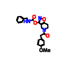 COc1ccc(CC(=O)N2CCc3onc(OC(=O)NCc4ccccc4)c3C2)cc1